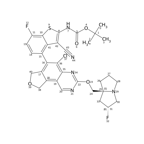 CC(C)(C)OC(=O)Nc1sc2c(F)ccc(-c3c4c(c5cnc(OC[C@@]67CCCN6C[C@H](F)C7)nc5c3Cl)COC4)c2c1C#N